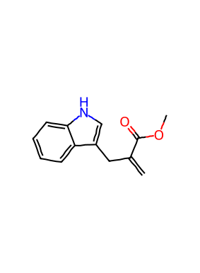 C=C(Cc1c[nH]c2ccccc12)C(=O)OC